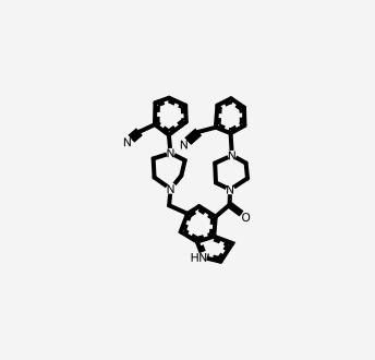 N#Cc1ccccc1N1CCN(Cc2cc(C(=O)N3CCN(c4ccccc4C#N)CC3)c3cc[nH]c3c2)CC1